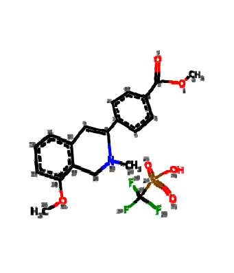 COC(=O)c1ccc(C2=Cc3cccc(OC)c3CN2C)cc1.O=S(=O)(O)C(F)(F)F